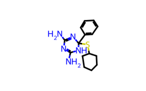 NC1=NC(SC2CCCCC2)(c2ccccc2)NC(N)=N1